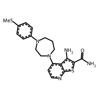 CSc1ccc(N2CCCN(c3ccnc4sc(C(N)=O)c(N)c34)CC2)cc1